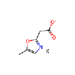 Cc1cnc(CC(=O)[O-])o1.[K+]